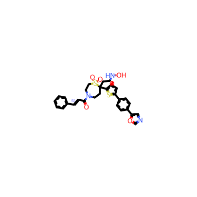 O=C(CC1(c2ccc(-c3ccc(-c4cnco4)cc3)s2)CCN(C(=O)/C=C/c2ccccc2)CCS1(=O)=O)NO